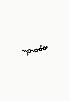 CCCCC[SiH]1CCC(CCC2CCC(c3ccc(-c4ccc(F)cc4)c(F)c3)CC2)CC1